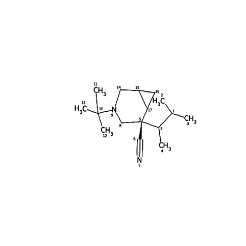 CC(C)C(C)[C@]1(C#N)CN(C(C)(C)C)CC2CC21